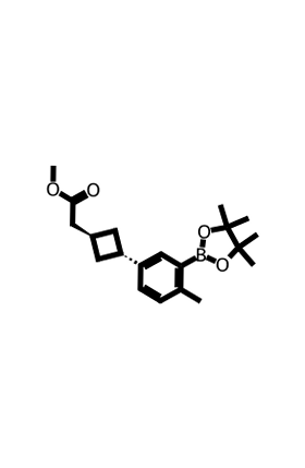 COC(=O)C[C@H]1C[C@H](c2ccc(C)c(B3OC(C)(C)C(C)(C)O3)c2)C1